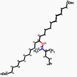 CCCCCCCCCCCCCCCCCCCCC(CCCCCCCCCCCCCCCCCCCC)ON(C)C(C)CCC(C)C